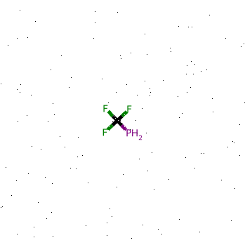 FC(F)(F)P